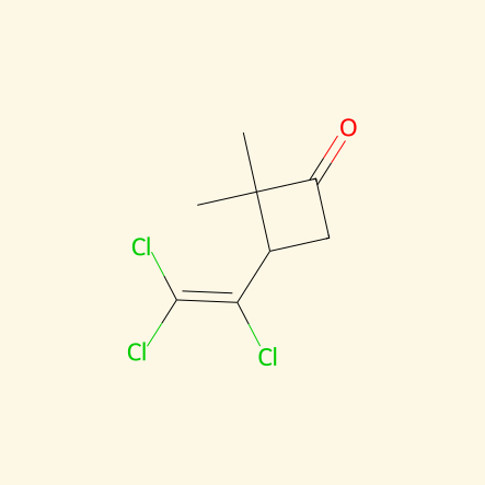 CC1(C)C(=O)CC1C(Cl)=C(Cl)Cl